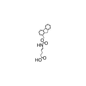 O=C(O)CCC=CNC(=O)OCc1cccc2c1Cc1ccccc1-2